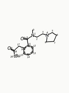 CN(CCN1CCCC1)C(=O)c1ccccc1CC(=O)C(C)(C)C